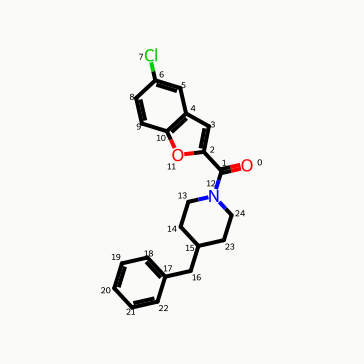 O=C(c1cc2cc(Cl)ccc2o1)N1CCC(Cc2ccccc2)CC1